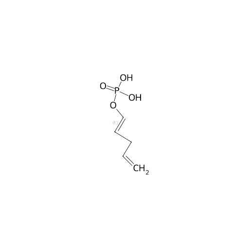 C=CC/C=C/OP(=O)(O)O